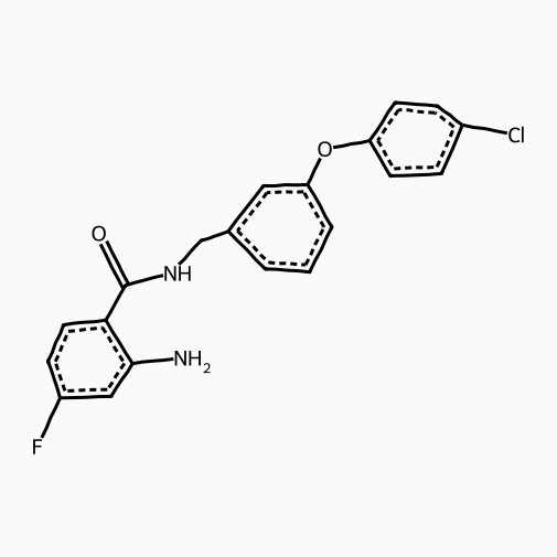 Nc1cc(F)ccc1C(=O)NCc1cccc(Oc2ccc(Cl)cc2)c1